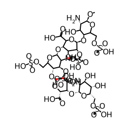 CO[C@H]1OC(COS(=O)(=O)O)[C@@H](O[C@@H]2OC(C(=O)O)[C@@H](O[C@H]3OC(COS(=O)(=O)O)[C@@H](O[C@@H]4O[C@@H](C(=O)O)[C@@H](O[C@H]5O[C@@H](COS(=O)(=O)O)[C@@H](O)[C@H](O)C5N)C(O)[C@@H]4O)[C@H](OS(=O)(=O)O)C3N)C(O)[C@@H]2OS(=O)(=O)O)C(O)[C@@H]1N